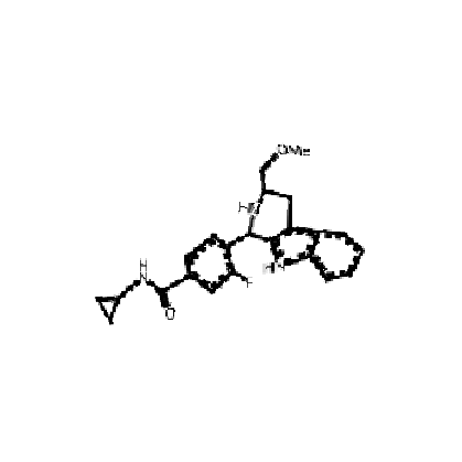 COC[C@H]1Cc2c([nH]c3ccccc23)C(c2ccc(C(=O)NC3CC3)cc2F)N1